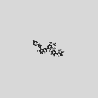 Cc1c(C(=O)NC2(C(F)F)CC2)cc(Nc2nc(-c3cnc4c(c3)N([C@H]3C[C@@](C)(N5CCC6CC6C5)C3)C(=O)C4(C)C)cc3ncn(C(C)C)c23)c(F)c1F